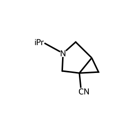 CC(C)N1CC2CC2(C#N)C1